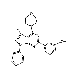 Oc1cccc(-c2nc(N3CCOCC3)c3c(F)nn(-c4ccccc4)c3n2)c1